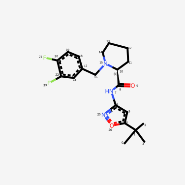 CC(C)(C)c1cc(NC(=O)[C@@H]2CCCCN2Cc2ccc(F)c(F)c2)no1